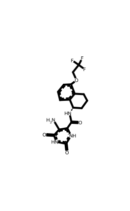 Nc1c(C(=O)N[C@H]2CCCc3c(OCC(F)(F)F)cccc32)[nH]c(=O)[nH]c1=O